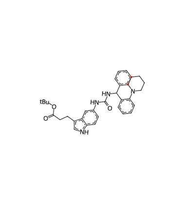 CC(C)(C)OC(=O)CCc1c[nH]c2ccc(NC(=O)NC(c3ccccc3)c3ccccc3N3CCCCC3)cc12